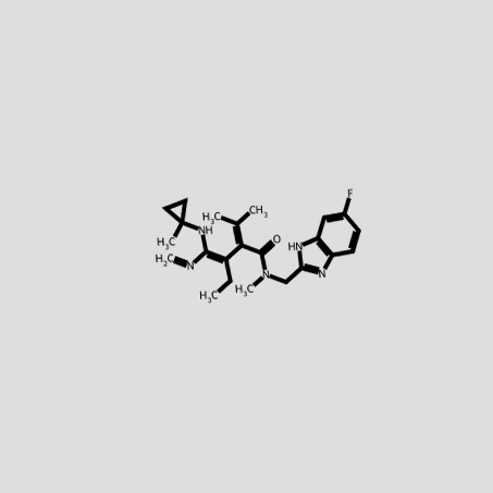 C=N/C(NC1(C)CC1)=C(\CC)C(C(=O)N(C)Cc1nc2ccc(F)cc2[nH]1)=C(C)C